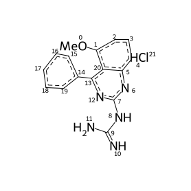 COc1cccc2nc(NC(=N)N)nc(-c3ccccc3)c12.Cl